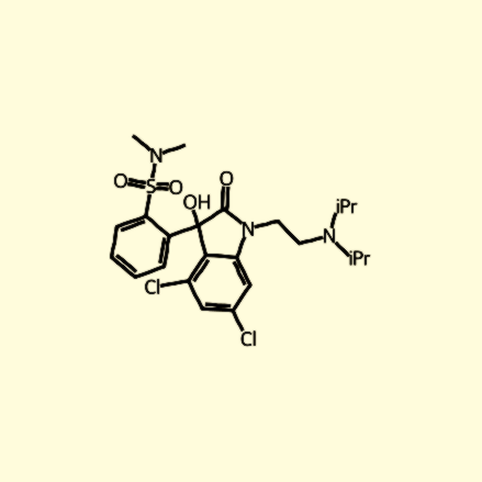 CC(C)N(CCN1C(=O)C(O)(c2ccccc2S(=O)(=O)N(C)C)c2c(Cl)cc(Cl)cc21)C(C)C